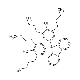 CCCCc1cc(C2(c3cc(CCCC)c(O)c(CCCC)c3)c3ccccc3-c3ccccc32)cc(CCCC)c1O